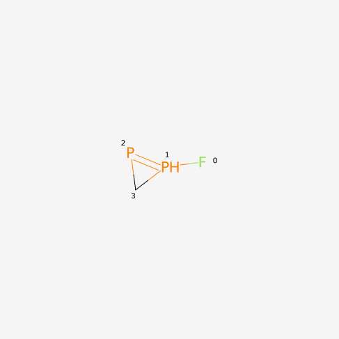 F[PH]1=PC1